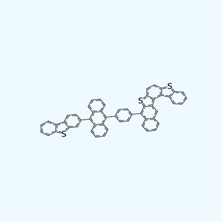 c1ccc2c(-c3ccc(-c4c5ccccc5c(-c5ccc6c(c5)sc5ccccc56)c5ccccc45)cc3)c3sc4ccc5sc6ccccc6c5c4c3cc2c1